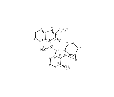 C[C@H]1CCC[C@@H](C[C@H](C)n2c(=O)c(C(=O)O)nc3ccccc32)N1C1C2CCCC3(C2)CC13